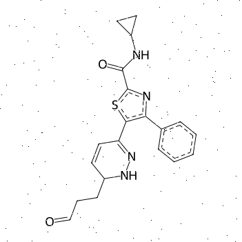 O=CCCC1C=CC(c2sc(C(=O)NC3CC3)nc2-c2ccccc2)=NN1